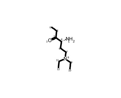 CCC(=O)[C@H](N)CCN(CC)CC